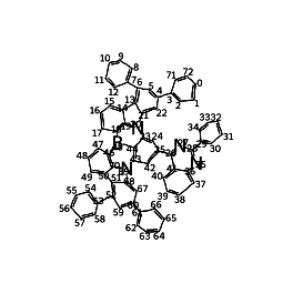 c1ccc(-c2cc(-c3ccccc3)c3c4cccc5c4n(c3c2)-c2cc(-c3nc(-c4ccccc4)nc4ccccc34)cc3c2B5c2cccc4c5c(-c6ccccc6)cc(-c6ccccc6)cc5n-3c24)cc1